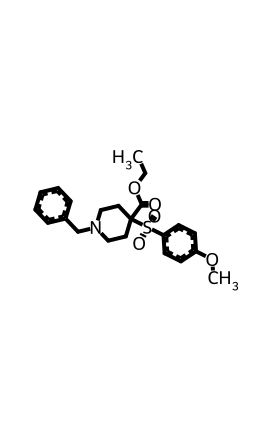 CCOC(=O)C1(S(=O)(=O)c2ccc(OC)cc2)CCN(Cc2ccccc2)CC1